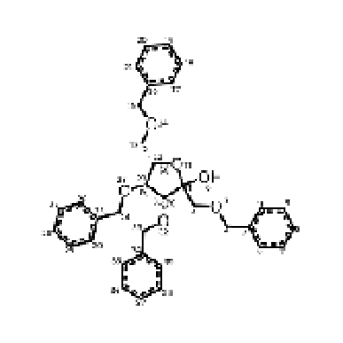 OC1(COCc2ccccc2)O[C@@H](COCc2ccccc2)[C@H](OCc2ccccc2)[C@H]1OCc1ccccc1